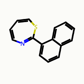 C1=CN=C(c2cccc3ccccc23)SC=C1